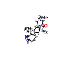 C=CCC1=C(c2cc3c(cc2C)C2(CCN(OC)CC2)C(=O)N3CC)CCCC23CN2N=C13